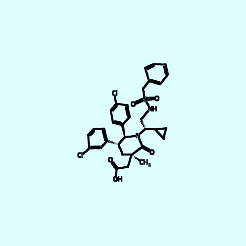 C[C@]1(CC(=O)O)C[C@H](c2cccc(Cl)c2)[C@@H](c2ccc(Cl)cc2)N([C@H](CNS(=O)(=O)Cc2ccccc2)C2CC2)C1=O